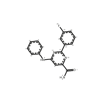 NC(=O)c1cc(Nc2ccccc2)nc(-c2cccc(F)c2)n1